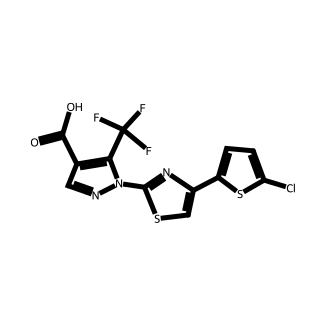 O=C(O)c1cnn(-c2nc(-c3ccc(Cl)s3)cs2)c1C(F)(F)F